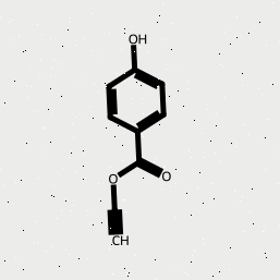 C#COC(=O)c1ccc(O)cc1